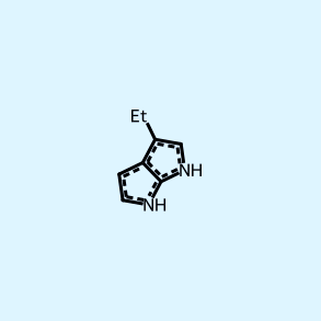 CCc1c[nH]c2[nH]ccc12